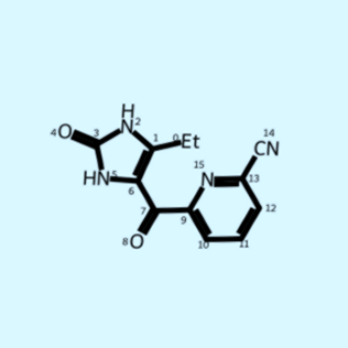 CCc1[nH]c(=O)[nH]c1C(=O)c1cccc(C#N)n1